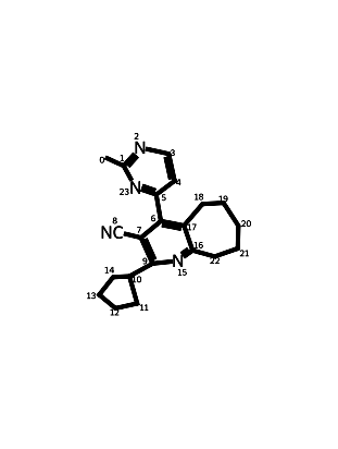 Cc1nccc(-c2c(C#N)c(C3CCCC3)nc3c2CCCCC3)n1